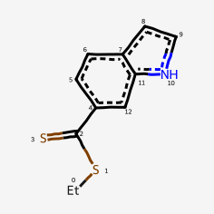 CCSC(=S)c1ccc2cc[nH]c2c1